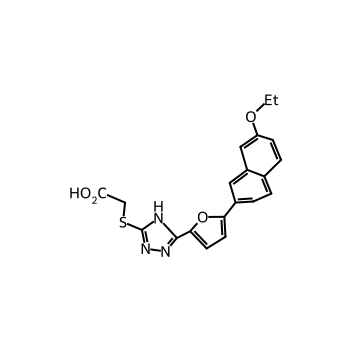 CCOc1ccc2ccc(-c3ccc(-c4nnc(SCC(=O)O)[nH]4)o3)cc2c1